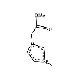 COC(=O)Cn1cc[n+](C)c1